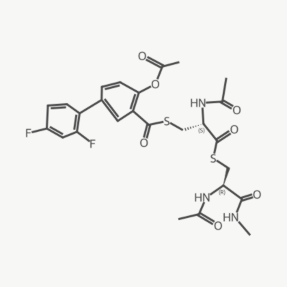 CNC(=O)[C@H](CSC(=O)[C@H](CSC(=O)c1cc(-c2ccc(F)cc2F)ccc1OC(C)=O)NC(C)=O)NC(C)=O